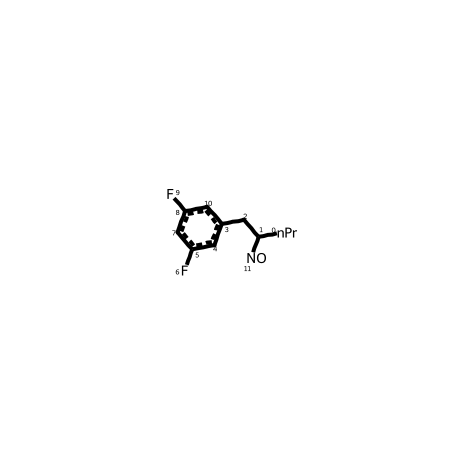 CCCC(Cc1cc(F)cc(F)c1)N=O